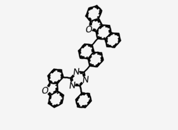 c1ccc(-c2nc(-c3cccc4c(-c5c6ccccc6cc6c5oc5ccccc56)cccc34)nc(-c3cccc4oc5ccccc5c34)n2)cc1